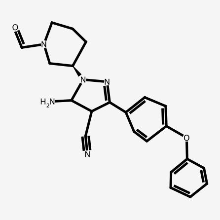 N#CC1C(c2ccc(Oc3ccccc3)cc2)=NN([C@@H]2CCCN(C=O)C2)C1N